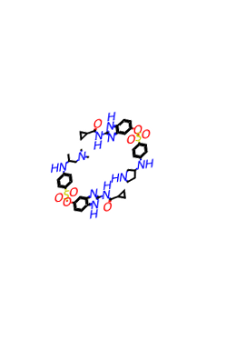 CC(CN(C)C)Nc1ccc(S(=O)(=O)Oc2ccc3[nH]c(NC(=O)C4CC4)nc3c2)cc1.O=C(Nc1nc2cc(OS(=O)(=O)c3ccc(NC4CCNC4)cc3)ccc2[nH]1)C1CC1